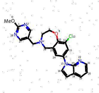 COc1ncc(CN2CCOc3c(Cl)cc(-n4ccc5cccnc54)cc3C2)cn1